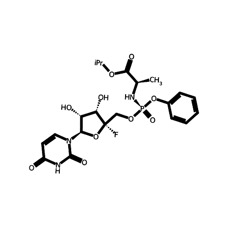 CC(C)OC(=O)[C@@H](C)N[P@@](=O)(OC[C@@]1(F)O[C@@H](n2ccc(=O)[nH]c2=O)[C@H](O)[C@@H]1O)Oc1ccccc1